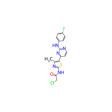 Cc1nc(NC(=O)CCl)sc1-c1ccnc(Nc2ccc(F)cc2)n1